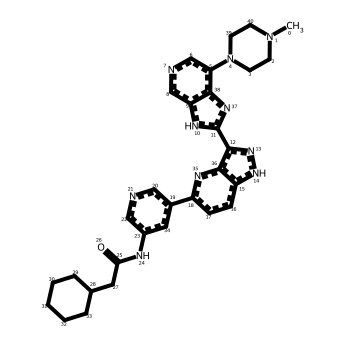 CN1CCN(c2cncc3[nH]c(-c4n[nH]c5ccc(-c6cncc(NC(=O)CC7CCCCC7)c6)nc45)nc23)CC1